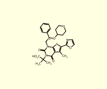 Cc1c(-c2ncco2)sc2c1c(=O)n(C(C)(C)C(=O)O)c(=O)n2C[C@H](OC1CCOCC1)c1ccccc1